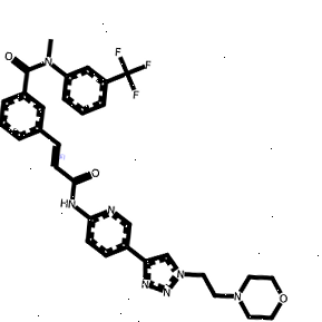 CN(C(=O)c1cccc(/C=C/C(=O)Nc2ccc(-c3cn(CCN4CCOCC4)nn3)cn2)c1)c1cccc(C(F)(F)F)c1